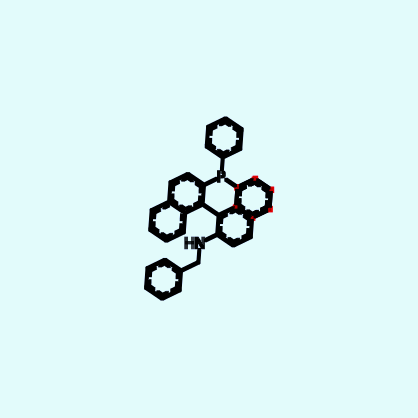 c1ccc(CNc2ccc3ccccc3c2-c2c(P(c3ccccc3)c3ccccc3)ccc3ccccc23)cc1